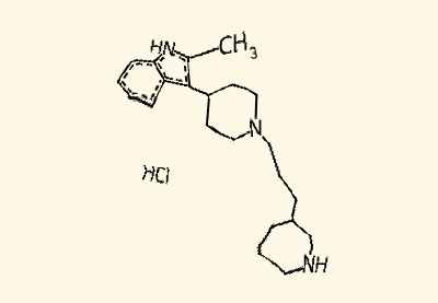 Cc1[nH]c2ccccc2c1C1CCN(CCCC2CCCNC2)CC1.Cl